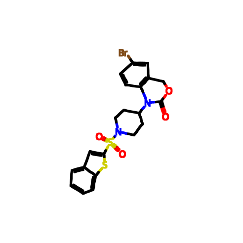 O=C1OCc2cc(Br)ccc2N1C1CCN(S(=O)(=O)c2cc3ccccc3s2)CC1